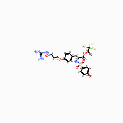 N=C(N)NOCCCOc1ccc(C[C@H](NS(=O)(=O)c2ccc(Br)cc2)C(=O)OC(=O)C(F)(F)F)cc1